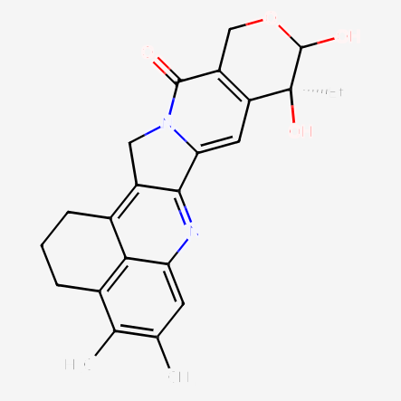 CC[C@]1(O)c2cc3n(c(=O)c2COC1O)Cc1c-3nc2cc(C)c(C)c3c2c1CCC3